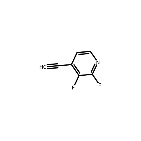 C#Cc1ccnc(F)c1F